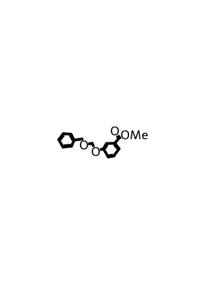 COC(=O)c1cccc(OCOCc2ccccc2)c1